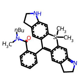 CCCCN(C)C(=O)c1ccccc1C1=c2cc3c(cc2[Si](C)(C)c2cc4c(cc21)CCN4)=NCC3